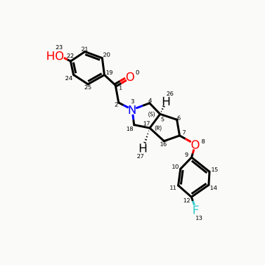 O=C(CN1C[C@H]2CC(Oc3ccc(F)cc3)C[C@H]2C1)c1ccc(O)cc1